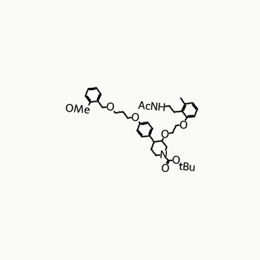 COc1ccccc1COCCCOc1ccc(C2CCN(C(=O)OC(C)(C)C)CC2OCCOc2cccc(C)c2CCNC(C)=O)cc1